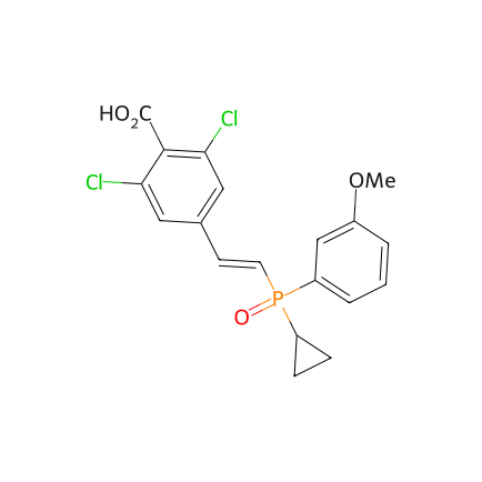 COc1cccc(P(=O)(/C=C/c2cc(Cl)c(C(=O)O)c(Cl)c2)C2CC2)c1